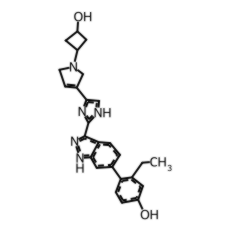 CCc1cc(O)ccc1-c1ccc2c(-c3nc(C4=CCN(C5CC(O)C5)C4)c[nH]3)n[nH]c2c1